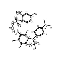 Cc1c(C)c2c(c(C)c1N)C(c1ccc(C(C)C)cc1)C(C)(C)O2.Cc1ccc(S(=O)(=O)[N-]Cl)cc1.[Na+]